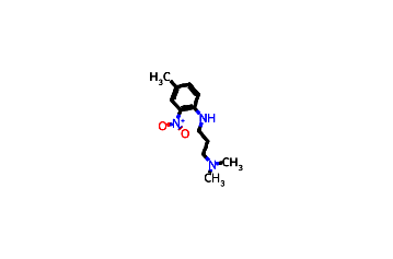 Cc1ccc(NCCCN(C)C)c([N+](=O)[O-])c1